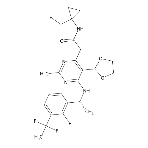 Cc1nc(CC(=O)NC2(CF)CC2)c(C2OCCO2)c(N[C@H](C)c2cccc(C(C)(F)F)c2F)n1